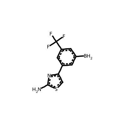 Bc1cc(-c2csc(N)n2)cc(C(F)(F)F)c1